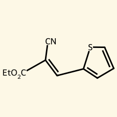 CCOC(=O)/C(C#N)=C/c1cccs1